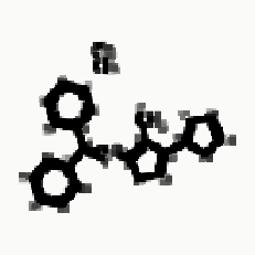 CC1=[C]([Zr+2]=[C](c2ccccc2)c2ccccc2)CC=C1C1=CC=CC1.[Cl-].[Cl-]